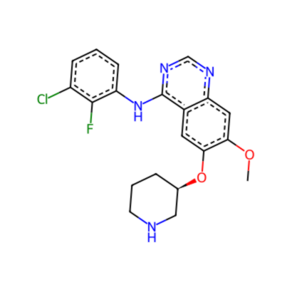 COc1cc2ncnc(Nc3cccc(Cl)c3F)c2cc1O[C@@H]1CCCNC1